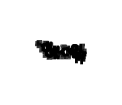 O=C(OC(C(F)(F)F)C(F)(F)F)N1CCC(c2nc3n(n2)-c2ncc(F)cc2CC3)CC1